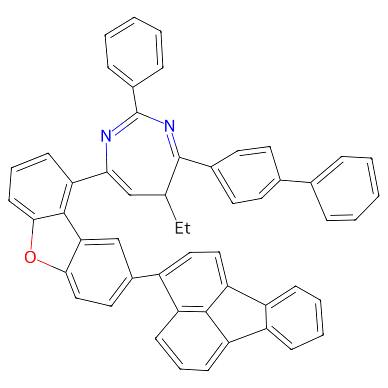 CCC1C=C(c2cccc3oc4ccc(-c5ccc6c7c(cccc57)-c5ccccc5-6)cc4c23)N=C(c2ccccc2)N=C1c1ccc(-c2ccccc2)cc1